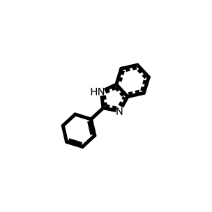 C1=CCCC(c2nc3ccccc3[nH]2)=C1